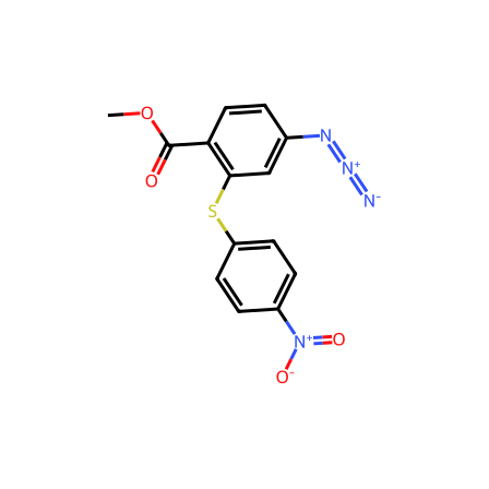 COC(=O)c1ccc(N=[N+]=[N-])cc1Sc1ccc([N+](=O)[O-])cc1